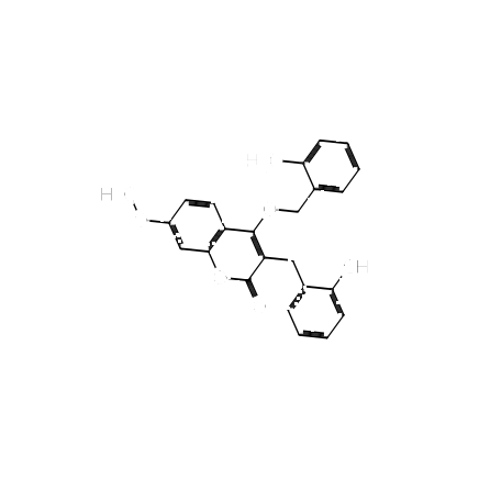 COc1ccc2c(OCc3ccccc3C)c(Cc3ccccc3C)c(=O)oc2c1